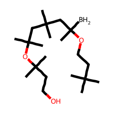 BC(C)(CC(C)(C)CC(C)(C)OC(C)(C)CCO)OCCC(C)(C)C